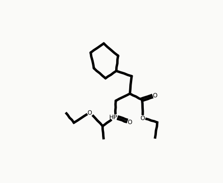 CCOC(=O)C(CC1CCCCC1)C[PH](=O)C(C)OCC